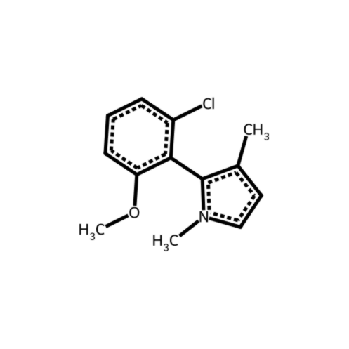 COc1cccc(Cl)c1-c1c(C)ccn1C